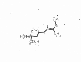 CCCSC(N)=NCCC[C@@](N)(CCC)C(=O)O